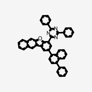 c1ccc(-c2nc(-c3ccccc3)nc(-c3cc(-c4ccc(-c5ccccc5)c5ccccc45)cc4c3oc3cc5ccccc5cc34)n2)cc1